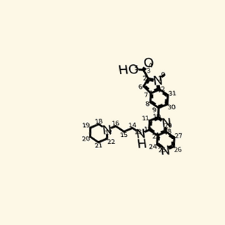 Cn1c(C(=O)O)cc2cc(-c3cc(NCCCN4CCCCC4)c4cnccc4n3)ccc21